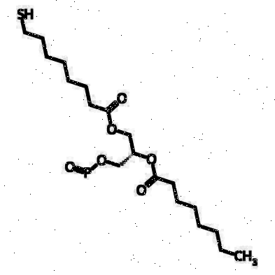 CCCCCCCC(=O)O[C@H](COP=O)COC(=O)CCCCCCCS